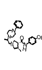 C=C(CN1C[C@H](C(=O)Nc2ccc(O)cc2)[C@@H](C)C1)N1CCN(c2ccccc2)CC1